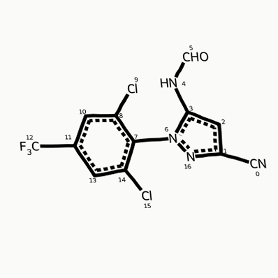 N#Cc1cc(NC=O)n(-c2c(Cl)cc(C(F)(F)F)cc2Cl)n1